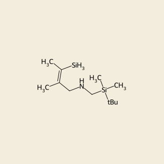 CC([SiH3])=C(C)CNC[Si](C)(C)C(C)(C)C